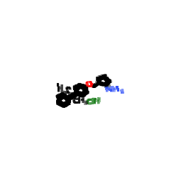 CC(C)(c1ccccc1)c1ccc(OC[C@H]2CCC[C@H]2N)cc1.Cl